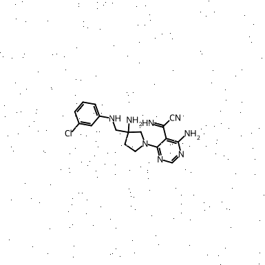 N#CC(=N)c1c(N)ncnc1N1CCC(N)(CNc2cccc(Cl)c2)C1